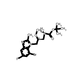 CO[C@@H](CN(C)C(=O)OC(C)(C)C)Cn1c(C)nc2cc(F)cc(Br)c21